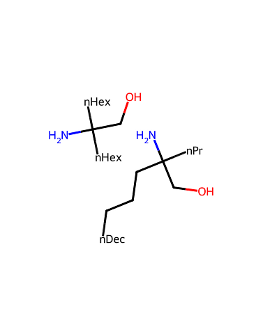 CCCCCCC(N)(CO)CCCCCC.CCCCCCCCCCCCCC(N)(CO)CCC